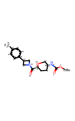 CC(C)(C)OC(=O)N[C@@H]1CC[C@@H](C(=O)N2CC(c3ccc(C(F)(F)F)cc3)C2)OC1